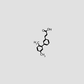 Cc1ccc(C)c(-c2cccc(C=CC(=O)O)c2)c1